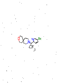 FC(F)(F)C(c1ccc(Br)cn1)N1CCC2(CCOCC2)CC1